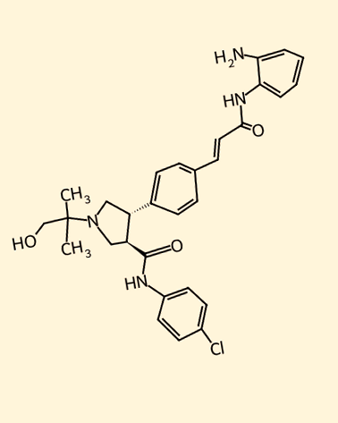 CC(C)(CO)N1C[C@H](C(=O)Nc2ccc(Cl)cc2)[C@@H](c2ccc(/C=C/C(=O)Nc3ccccc3N)cc2)C1